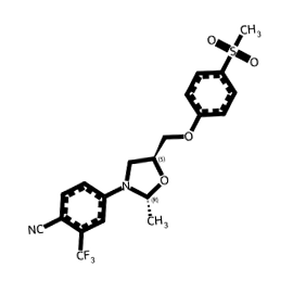 C[C@H]1O[C@H](COc2ccc(S(C)(=O)=O)cc2)CN1c1ccc(C#N)c(C(F)(F)F)c1